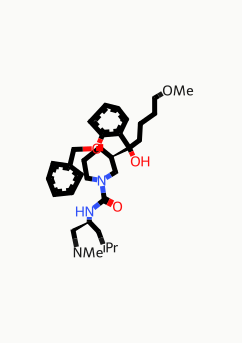 CNC[C@H](CC(C)C)NC(=O)N1CCC[C@@H](C(O)(CCCCOC)c2ccccc2OCc2ccccc2)C1